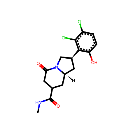 CNC(=O)C1CC(=O)N2C[C@@H](c3c(O)ccc(Cl)c3Cl)C[C@H]2C1